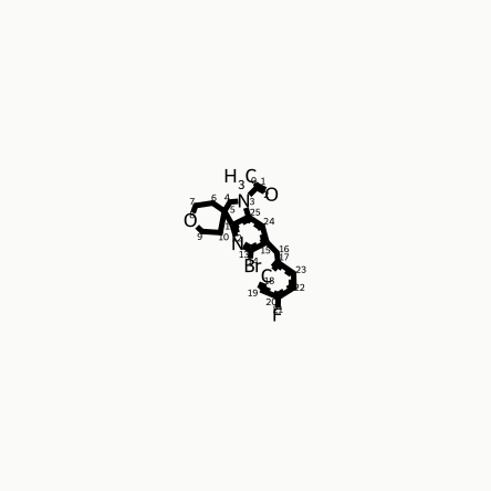 CC(=O)N1CC2(CCOCC2)c2nc(Br)c(Cc3ccc(F)cc3)cc21